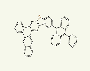 c1ccc(-c2c3ccccc3c(-c3ccc4sc5cc6c7ccccc7c7cc8ccccc8cc7c6cc5c4c3)c3ccccc23)cc1